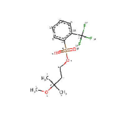 COC(C)(C)CCOS(=O)(=O)c1ccccc1C(F)(F)F